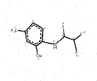 N#Cc1cc(C(F)(F)F)ccc1NC(F)C(F)F